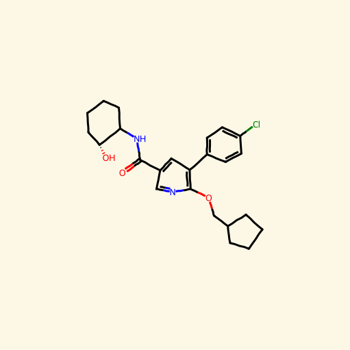 O=C(NC1CCCC[C@H]1O)c1cnc(OCC2CCCC2)c(-c2ccc(Cl)cc2)c1